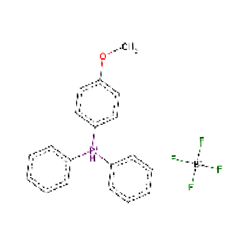 COc1ccc([PH+](c2ccccc2)c2ccccc2)cc1.F[B-](F)(F)F